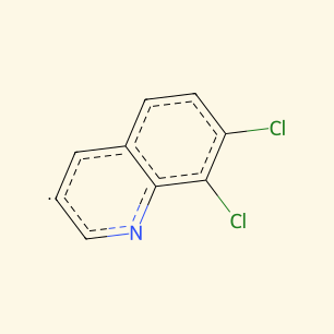 Clc1ccc2c[c]cnc2c1Cl